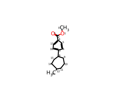 COC(=O)c1ccc(C2CCCC(C)CC2)cc1